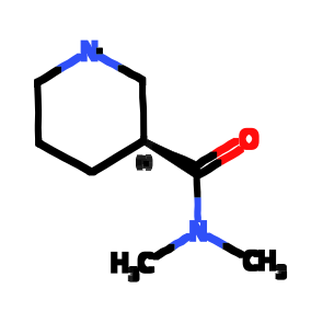 CN(C)C(=O)[C@H]1CCC[N]C1